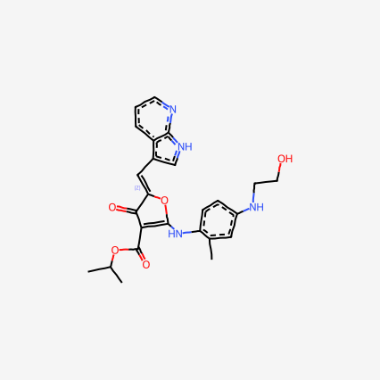 Cc1cc(NCCO)ccc1NC1=C(C(=O)OC(C)C)C(=O)/C(=C/c2c[nH]c3ncccc23)O1